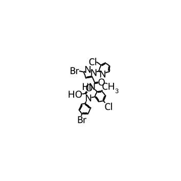 Cc1cc(Cl)cc(N(C(=O)O)c2ccc(Br)cc2)c1NC(=O)c1cc(Br)nn1-c1ncccc1Cl